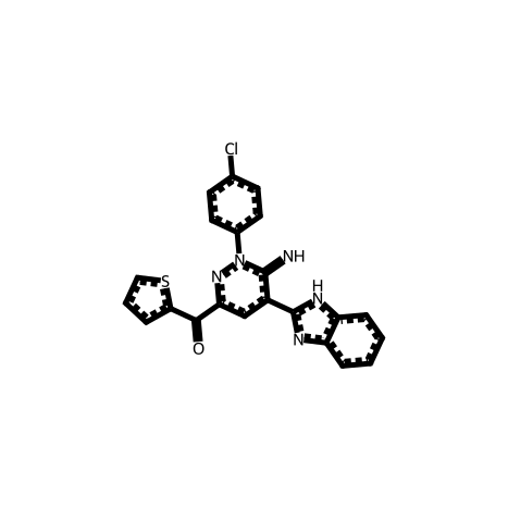 N=c1c(-c2nc3ccccc3[nH]2)cc(C(=O)c2cccs2)nn1-c1ccc(Cl)cc1